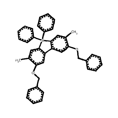 Cc1cc2c(cc1OCc1ccccc1)-c1cc(OCc3ccccc3)c(C)cc1[Si]2(c1ccccc1)c1ccccc1